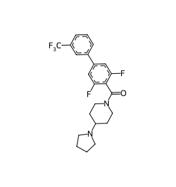 O=C(c1c(F)cc(-c2cccc(C(F)(F)F)c2)cc1F)N1CCC(N2CCCC2)CC1